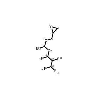 CCC(OCC1CO1)OC(F)C(F)C(F)F